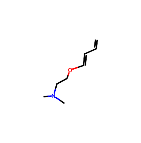 C=CC=COCCN(C)C